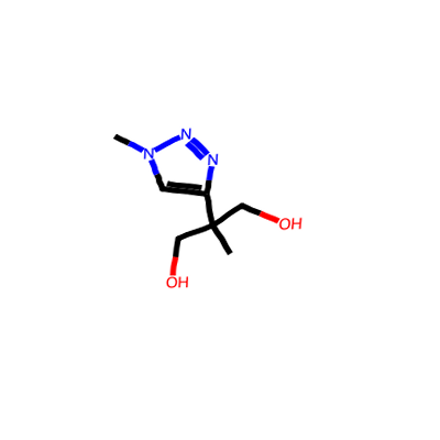 Cn1cc(C(C)(CO)CO)nn1